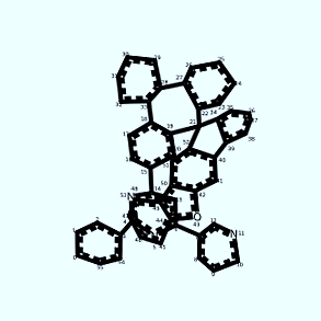 c1ccc(-c2nc(-c3cccnc3)cc(-c3ccc4c(c3)C3(c5ccccc5-c5ccccc5-4)c4ccccc4-c4cc5oc6ccccc6c5cc43)n2)cc1